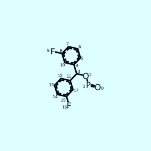 O=POC(c1cccc(F)c1)c1cccc(F)c1